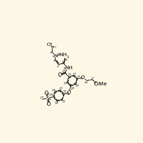 C=C(/C=C\N(N)CP=O)NC(=O)c1cc(OCCOC)cc(Oc2ccc(S(C)(=O)=O)cc2)c1